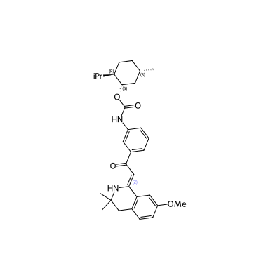 COc1ccc2c(c1)/C(=C/C(=O)c1cccc(NC(=O)O[C@H]3C[C@@H](C)CC[C@@H]3C(C)C)c1)NC(C)(C)C2